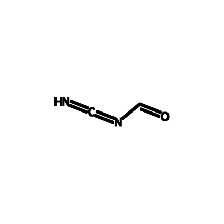 N=C=NC=O